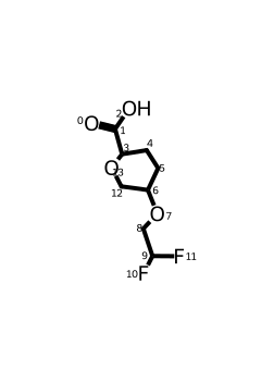 O=C(O)C1CCC(OCC(F)F)CO1